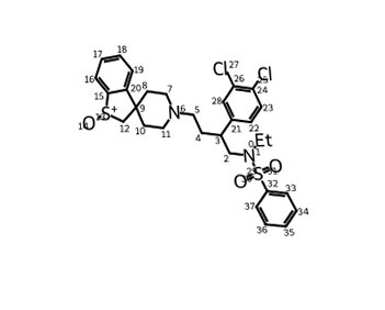 CCN(CC(CCN1CCC2(CC1)C[S+]([O-])c1ccccc12)c1ccc(Cl)c(Cl)c1)S(=O)(=O)c1ccccc1